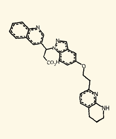 O=C(O)CC(c1cnc2ccccc2c1)n1ncc2cc(OCCc3ccc4c(n3)NCCC4)ccc21